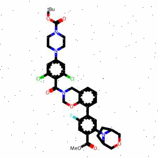 COC(=O)c1cc(F)c(-c2cccc3c2OCN(C(=O)c2c(Cl)cc(N4CCN(C(=O)OC(C)(C)C)CC4)cc2Cl)C3)cc1N1C2CCC1COC2